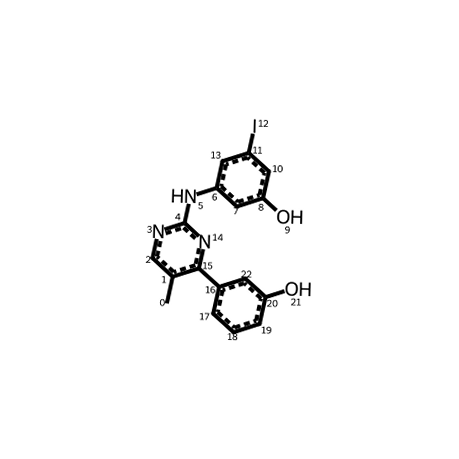 Cc1cnc(Nc2cc(O)cc(I)c2)nc1-c1cccc(O)c1